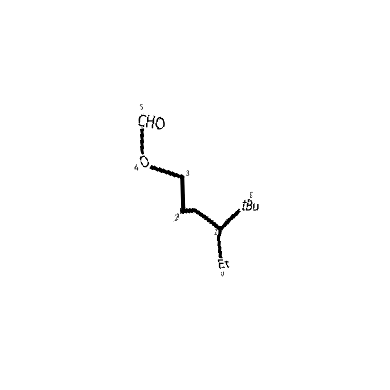 CCC(CCOC=O)C(C)(C)C